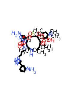 CC[C@H]1OC(=O)C(C)(F)C(=O)[C@H](C)[C@@H](O[C@@H]2O[C@H](C)CC(N(C)C)C2O)[C@](C)(OC)C[C@@H](C)CN[C@H](C)[C@H]2N(CCCCn3cc(-c4cccc(N)c4)nn3)C(=O)O[C@]12n1ccc(N)nc1=O